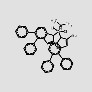 CCC(C)C1=Cc2c(ccc(-c3ccccc3)c2-c2ccccc2)[CH]1[Zr]([Cl])([Cl])([CH]1C(C(C)CC)=Cc2c1ccc(-c1ccccc1)c2-c1ccccc1)[SiH](C)C